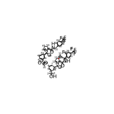 CC(C)(O)c1cccc(C(=O)N2CCC[C@@H]2C(=O)N[C@@H](c2ccc(C(F)(F)F)cc2F)C2CC2)c1.CCS(=O)(=O)c1cccc(C(=O)N2CCC[C@H]2C(=O)NCc2ccc(C(F)(F)F)cc2)c1